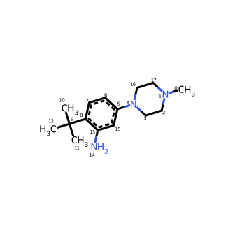 CN1CCN(c2ccc(C(C)(C)C)c(N)c2)CC1